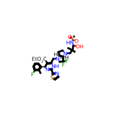 CCOC(=O)C1=C(CN2CC(F)(F)[C@H]3[C@@H]2CCN3CC(C)(C)C(O)NS(C)(=O)=O)NC(c2nccs2)=N[C@H]1c1cccc(F)c1C